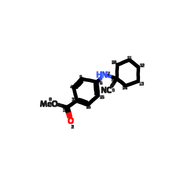 COC(=O)c1ccc(NC2(C#N)CCCCC2)cc1